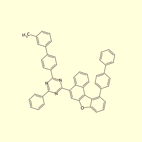 Cc1cccc(-c2ccc(-c3nc(-c4ccccc4)nc(-c4cc5oc6cccc(-c7ccc(-c8ccccc8)cc7)c6c5c5ccccc45)n3)cc2)c1